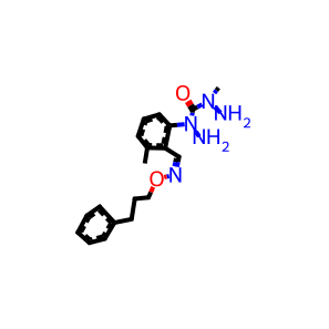 Cc1cccc(N(N)C(=O)N(C)N)c1/C=N\OCCCc1ccccc1